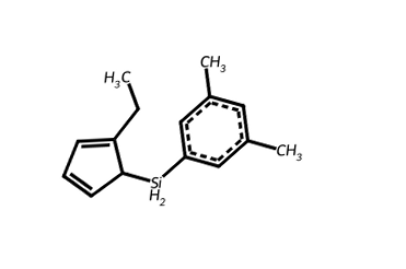 CCC1=CC=C[C]1[SiH2]c1cc(C)cc(C)c1